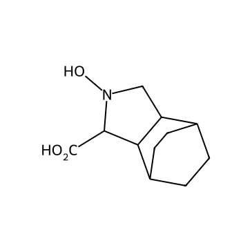 O=C(O)C1C2C3CCC(CC3)C2CN1O